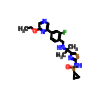 CCOc1cncc(-c2ccc(CNC(C)(C)c3csc(N[S+]([O-])C4CC4)n3)c(F)c2)n1